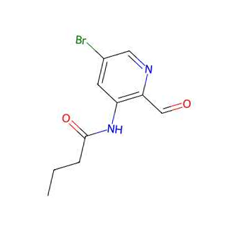 CCCC(=O)Nc1cc(Br)cnc1C=O